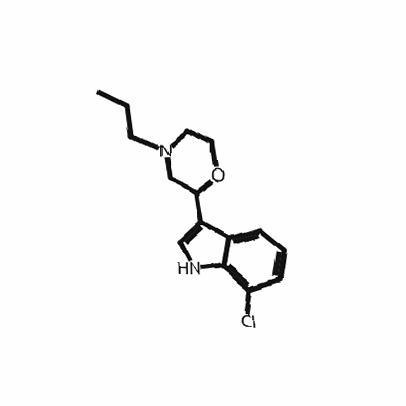 CCCN1CCOC(c2c[nH]c3c(Cl)cccc23)C1